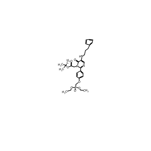 CCOP(=O)(COc1ccc(-c2ncc(NCCCc3ccccc3)c(=O)n2CC(=O)OC(C)(C)C)cc1)OCC